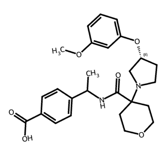 COc1cccc(O[C@@H]2CCN(C3(C(=O)NC(C)c4ccc(C(=O)O)cc4)CCOCC3)C2)c1